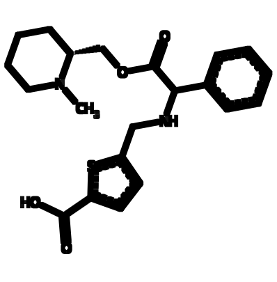 CN1CCCC[C@@H]1COC(=O)C(NCc1ccc(C(=O)O)s1)c1ccccc1